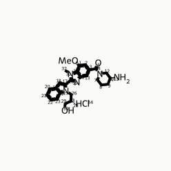 COc1cc(C(=O)N2CCC[C@@H](N)C2)cc2nc(-c3cc4ccccc4n3C[C@H](C)CO)n(C)c12.Cl